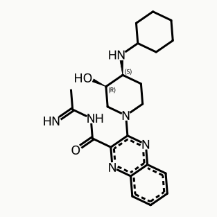 CC(=N)NC(=O)c1nc2ccccc2nc1N1CC[C@H](NC2CCCCC2)[C@H](O)C1